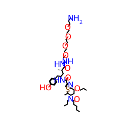 CCCCC(=O)N(CCC)C(CC(OCCC)c1nc(C(=O)NC(Cc2ccc(O)cc2)C[C@H](C)C(=O)NNCOCCOCCOCCOCCN)cs1)C(C)C